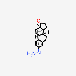 C[C@]12C=CC(=NN)C=C1CC[C@@H]1[C@@H]2CC[C@]2(C)C(=O)CC[C@@H]12